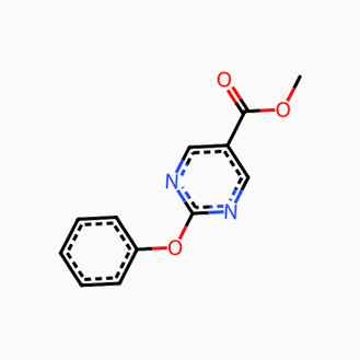 COC(=O)c1cnc(Oc2ccccc2)nc1